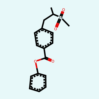 CC(Cc1ccc(C(=O)Oc2ccccc2)cc1)[Te](C)(=O)=O